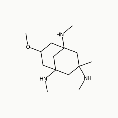 CNC1(C)CC2(NC)CC(OC)CC(NC)(C1)C2